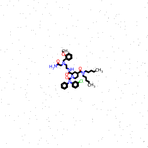 CCCCCN(CCCCC)C(=O)C1CCN(C(=O)N(c2ccccc2)c2cccc(Cl)c2)C(C(=O)NCCN(CC(N)=O)Cc2ccccc2OC)C1